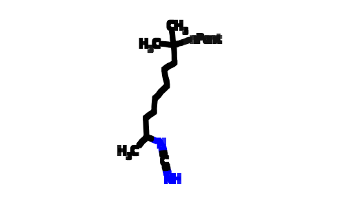 CCCCCC(C)(C)CCCCCCC(C)N=C=N